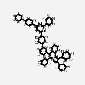 c1ccc(-c2ccc(-c3cc(-c4ccc(-c5cccc(-c6c(-c7ccccc7)n7nc(-c8ccccc8)c(-c8ccccc8)c7c7ccccc67)c5)cc4)nc(-c4ccccc4)n3)cc2)cc1